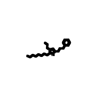 CCCCCCCCc1nc(CCCc2ccccc2)cn1CCC